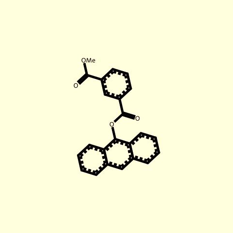 COC(=O)c1cccc(C(=O)Oc2c3ccccc3cc3ccccc23)c1